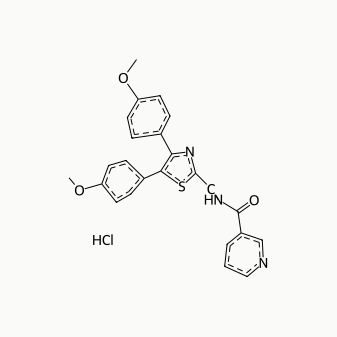 COc1ccc(-c2nc(CNC(=O)c3cccnc3)sc2-c2ccc(OC)cc2)cc1.Cl